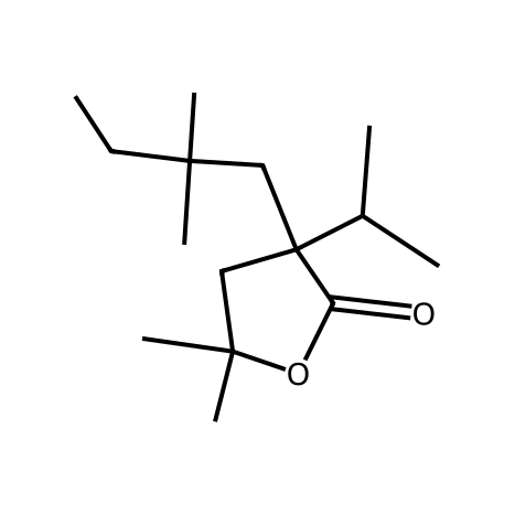 CCC(C)(C)CC1(C(C)C)CC(C)(C)OC1=O